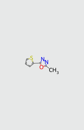 Cc1nnc(-c2cccs2)o1